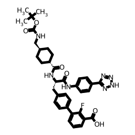 CC(C)(C)OC(=O)NC[C@H]1CC[C@H](C(=O)N[C@@H](Cc2ccc(-c3cccc(C(=O)O)c3F)cc2)C(=O)Nc2ccc(-c3nn[nH]n3)cc2)CC1